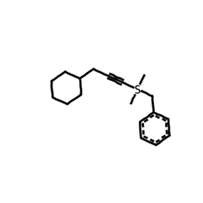 CS(C)(C#CCC1CCCCC1)Cc1ccccc1